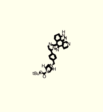 CC(C)(C)OC(=O)N1C[C@@H]2C[C@H]1CN2Cc1ccc(-c2ccnc3c(-c4cccc5[nH]ncc45)c(-c4ccncc4)nn23)cc1